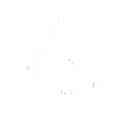 CSc1ccc2c(c1)c(C1=C(c3c[nH]c4ccccc34)C(=O)NC1=O)cn2CCCN